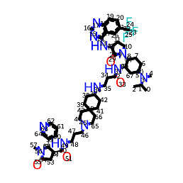 CC(C)N(C)[C@@H]1CC[C@H](N2CC[C@H](Nc3ncnc4ccc(C(F)(F)F)cc34)C2=O)[C@H](NC(=O)CCNC2CCC3(CC2)CCN(CCCNC(=O)[C@H]2CC(=O)N(C)[C@@H]2c2cccnc2)CC3)C1